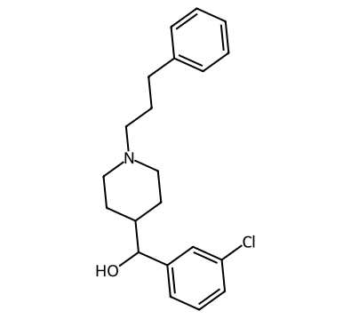 OC(c1cccc(Cl)c1)C1CCN(CCCc2ccccc2)CC1